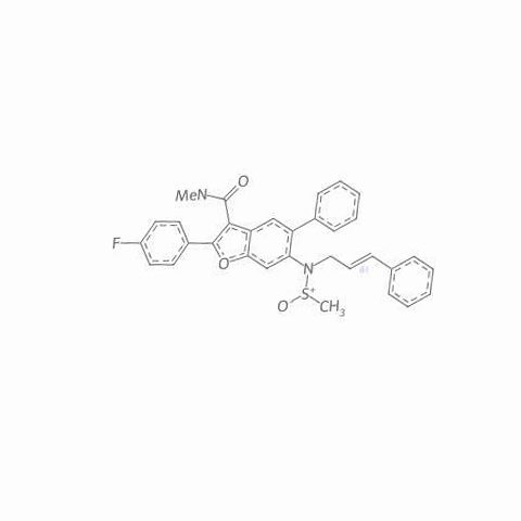 CNC(=O)c1c(-c2ccc(F)cc2)oc2cc(N(C/C=C/c3ccccc3)[S+](C)[O-])c(-c3ccccc3)cc12